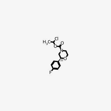 CC(Cl)OC(=O)N1CCO[C@@H](c2ccc(F)cc2)C1